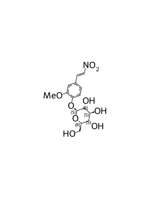 COc1cc(C=C[N+](=O)[O-])ccc1O[C@@H]1O[C@H](CO)[C@@H](O)[C@H](O)[C@H]1O